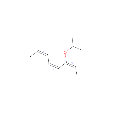 C\C=C/C=C\C(=C/C)OC(C)C